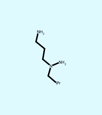 CC(C)CN(N)CCCN